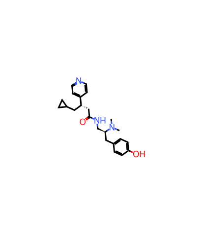 CN(C)[C@H](CNC(=O)C[C@H](CC1CC1)c1ccncc1)Cc1ccc(O)cc1